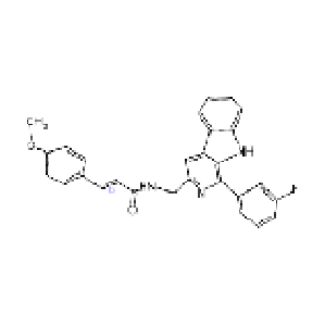 COc1ccc(/C=C/C(=O)NCc2cc3c([nH]c4ccccc43)c(-c3cccc(F)c3)n2)cc1